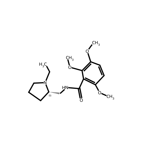 CCN1CCC[C@H]1CNC(=O)c1c(OC)ccc(OC)c1OC